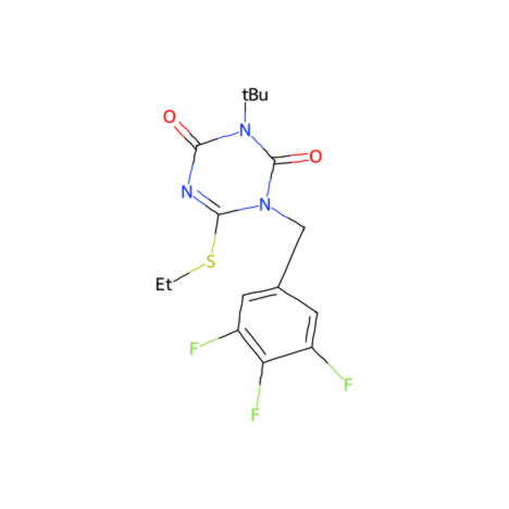 CCSc1nc(=O)n(C(C)(C)C)c(=O)n1Cc1cc(F)c(F)c(F)c1